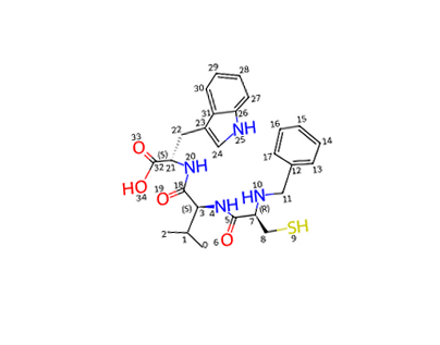 CC(C)[C@H](NC(=O)[C@H](CS)NCc1ccccc1)C(=O)N[C@@H](Cc1c[nH]c2ccccc12)C(=O)O